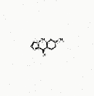 CN1CCC(C(O)c2nccn2C)CC1